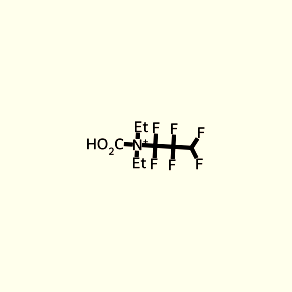 CC[N+](CC)(C(=O)O)C(F)(F)C(F)(F)C(F)F